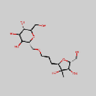 CC1(O)C(O)[C@@H](CO)O[C@@H]1CCCOC[C@H]1OC(CO)[C@@H](O)C(O)C1O